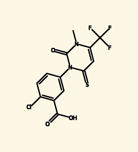 Cn1c(C(F)(F)F)cc(=S)n(-c2ccc(Cl)c(C(=O)O)c2)c1=O